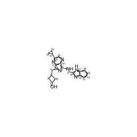 OC1CC(Cn2nc(NCc3nc4ccccc4[nH]3)c3ncc(C4CC4)nc32)C1